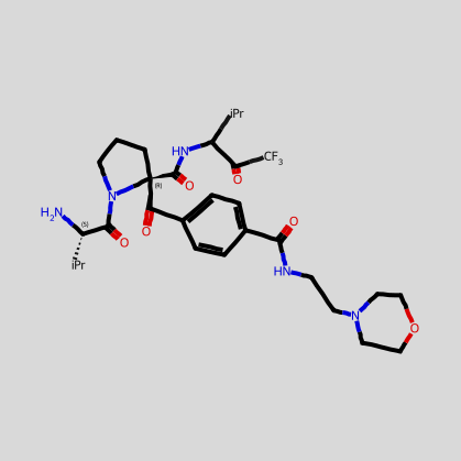 CC(C)C(NC(=O)[C@]1(C(=O)c2ccc(C(=O)NCCN3CCOCC3)cc2)CCCN1C(=O)[C@@H](N)C(C)C)C(=O)C(F)(F)F